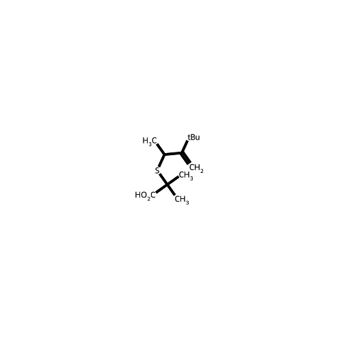 C=C(C(C)SC(C)(C)C(=O)O)C(C)(C)C